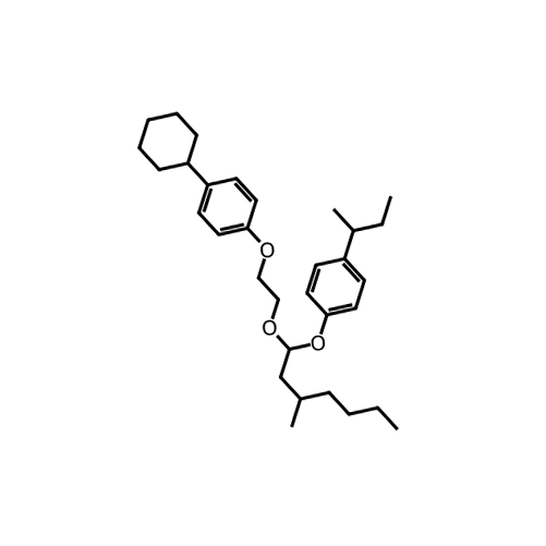 CCCCC(C)CC(OCCOc1ccc(C2CCCCC2)cc1)Oc1ccc(C(C)CC)cc1